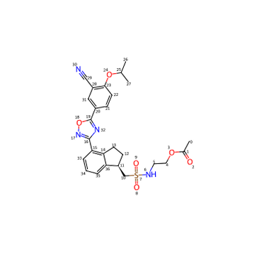 CC(=O)OCCNS(=O)(=O)C[C@@H]1CCc2c(-c3noc(-c4ccc(OC(C)C)c(C#N)c4)n3)cccc21